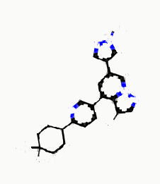 CC(=O)NC1(C)CCC(c2ccc(-c3cc(-c4cnn(C)c4)cn4ncc(C#N)c34)cn2)CC1